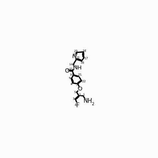 NC/C(=C\F)COc1ccc(C(=O)NCc2ccccn2)cc1